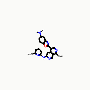 CNc1ncc(-c2nc3cc(N(C)C(C)=O)ccc3o2)c2cc(Nc3cccc(OC)n3)ncc12